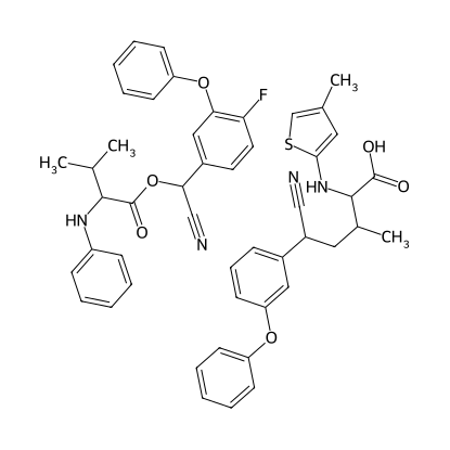 CC(C)C(Nc1ccccc1)C(=O)OC(C#N)c1ccc(F)c(Oc2ccccc2)c1.Cc1csc(NC(C(=O)O)C(C)CC(C#N)c2cccc(Oc3ccccc3)c2)c1